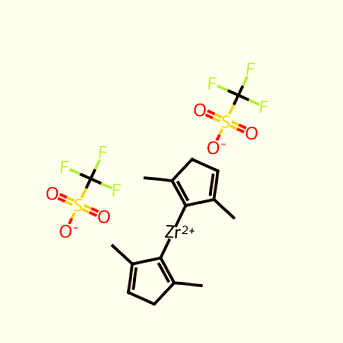 CC1=CCC(C)=[C]1[Zr+2][C]1=C(C)CC=C1C.O=S(=O)([O-])C(F)(F)F.O=S(=O)([O-])C(F)(F)F